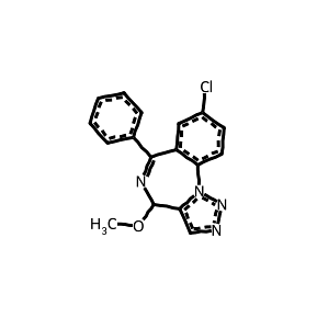 COC1N=C(c2ccccc2)c2cc(Cl)ccc2-n2nncc21